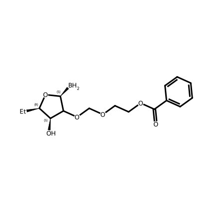 B[C@@H]1O[C@H](CC)[C@H](O)C1OCOCCOC(=O)c1ccccc1